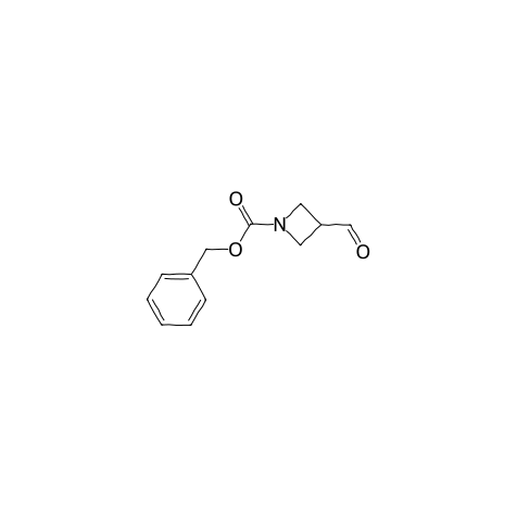 O=CC1CN(C(=O)OCc2ccccc2)C1